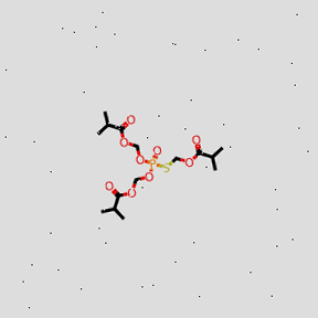 CC(C)C(=O)OCOP(=O)(OCOC(=O)C(C)C)SCOC(=O)C(C)C